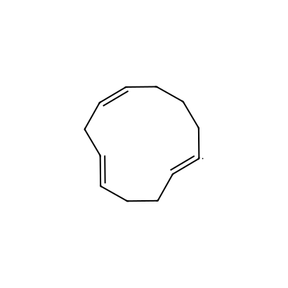 [C]1=C/CC/C=C/C/C=C\CCC/1